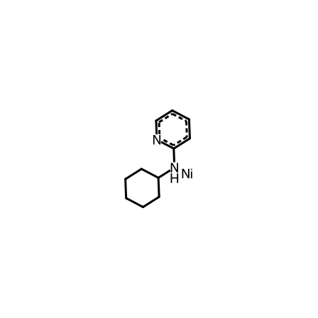 [Ni].c1ccc(NC2CCCCC2)nc1